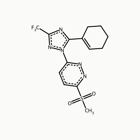 CS(=O)(=O)c1ccc(-n2nc(C(F)(F)F)nc2C2=CCCCC2)nn1